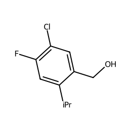 CC(C)c1cc(F)c(Cl)cc1CO